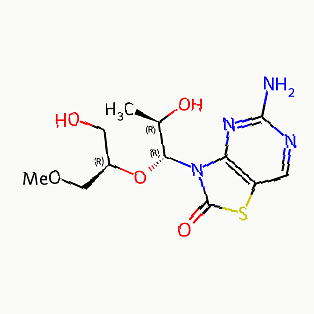 COC[C@@H](CO)O[C@H]([C@@H](C)O)n1c(=O)sc2cnc(N)nc21